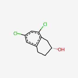 O[C@@H]1CCc2cc(Cl)cc(Cl)c2C1